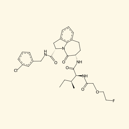 CC[C@H](C)[C@H](NC(=O)COCCF)C(=O)N[C@H]1CCc2cccc3c2N(C1=O)[C@H](C(=O)NCc1cccc(Cl)c1)C3